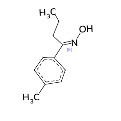 CCC/C(=N\O)c1ccc(C)cc1